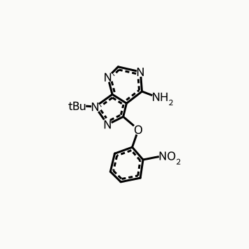 CC(C)(C)n1nc(Oc2ccccc2[N+](=O)[O-])c2c(N)ncnc21